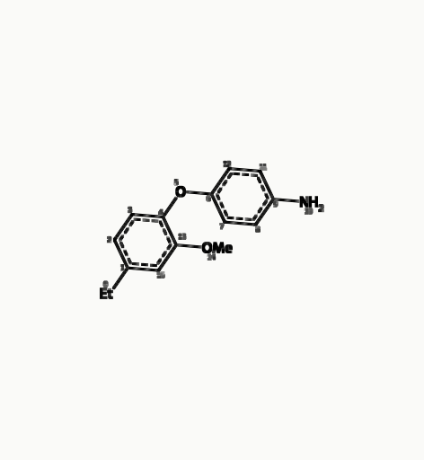 CCc1ccc(Oc2ccc(N)cc2)c(OC)c1